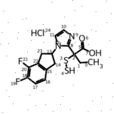 CCC(SS)(C(=O)O)c1nccn1C1Cc2ccc(F)c(F)c2C1.Cl